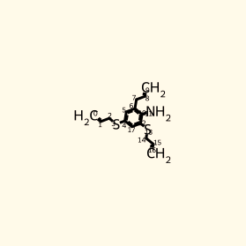 C=CCSc1cc(CC=C)c(N)c(SCC=C)c1